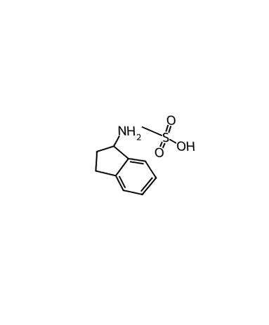 CS(=O)(=O)O.NC1CCc2ccccc21